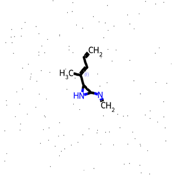 C=C/C=C(\C)C1NC1N=C